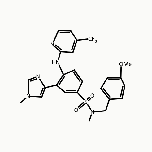 COc1ccc(CN(C)S(=O)(=O)c2ccc(Nc3cc(C(F)(F)F)ccn3)c(-c3cn(C)cn3)c2)cc1